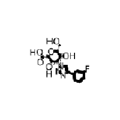 O=C(O)[C@@H]1O[C@H](CO)[C@H](O)[C@H](n2cc(-c3cccc(F)c3)nn2)[C@H]1O